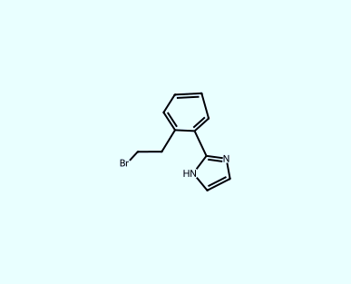 BrCCc1ccccc1-c1ncc[nH]1